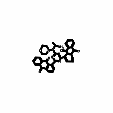 CC(N)N(c1nc(-c2cccc3c2C(=O)c2ccccc2C3=O)nc(-c2cccc3c2C(=O)c2ccccc2C3=O)n1)N1CCOCC1